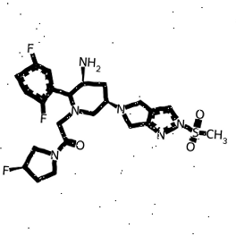 CS(=O)(=O)n1cc2c(n1)CN([C@@H]1C[C@H](N)C(c3cc(F)ccc3F)N(CC(=O)N3CC[C@@H](F)C3)C1)C2